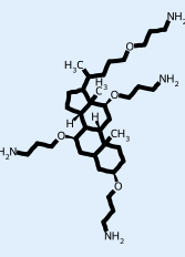 CC(CCCOCCCN)C1CC[C@H]2C3[C@H](OCCCN)CC4C[C@H](OCCCN)CCC4(C)[C@H]3C[C@H](OCCCN)C12C